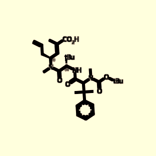 C=CC[C@@H](C=C(C)C(=O)O)N(C)C(=O)[C@@H](NC(=O)C(N(C)C(=O)OC(C)(C)C)C(C)(C)c1ccccc1)C(C)(C)C